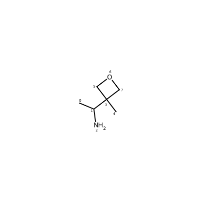 CC(N)C1(C)COC1